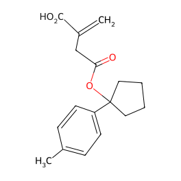 C=C(CC(=O)OC1(c2ccc(C)cc2)CCCC1)C(=O)O